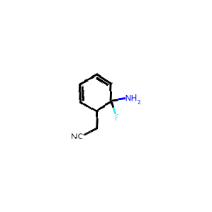 N#CCC1C=CC=CC1(N)F